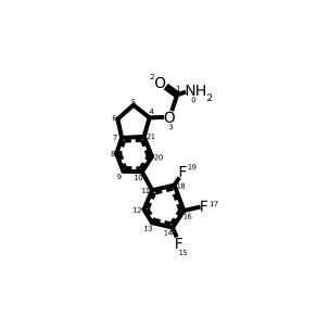 NC(=O)OC1CCc2ccc(-c3ccc(F)c(F)c3F)cc21